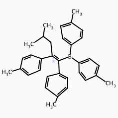 Cc1ccc(B(/C(=C(\CC(C)C)c2ccc(C)cc2)c2ccc(C)cc2)c2ccc(C)cc2)cc1